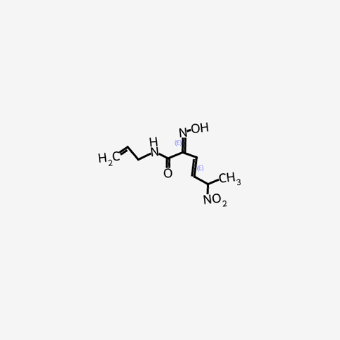 C=CCNC(=O)C(/C=C/C(C)[N+](=O)[O-])=N/O